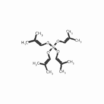 CC(C)=CO[Si](OC=C(C)C)(OC=C(C)C)OC=C(C)C